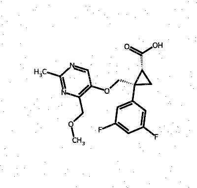 COCc1nc(C)ncc1OC[C@@]1(c2cc(F)cc(F)c2)C[C@H]1C(=O)O